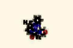 CCc1c(N2CCOCC2)nc2c(C(C)Nc3ccccc3)cccn2c1=O